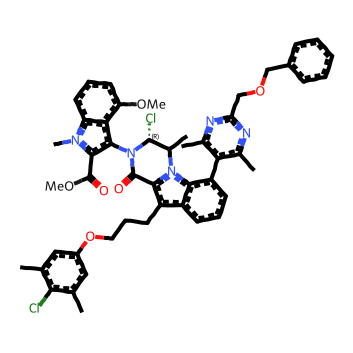 COC(=O)c1c(N2C(=O)c3c(CCCOc4cc(C)c(Cl)c(C)c4)c4cccc(-c5c(C)nc(COCc6ccccc6)nc5C)c4n3C(C)[C@H]2Cl)c2c(OC)cccc2n1C